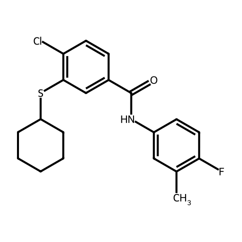 Cc1cc(NC(=O)c2ccc(Cl)c(SC3CCCCC3)c2)ccc1F